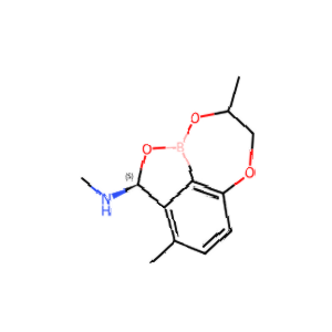 CN[C@H]1OB2OC(C)COc3ccc(C)c1c32